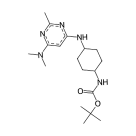 Cc1nc(NC2CCC(NC(=O)OC(C)(C)C)CC2)cc(N(C)C)n1